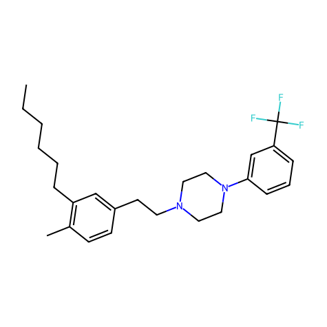 CCCCCCc1cc(CCN2CCN(c3cccc(C(F)(F)F)c3)CC2)ccc1C